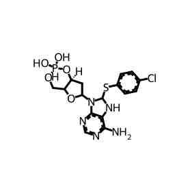 Nc1ncnc2c1NC(Sc1ccc(Cl)cc1)N2C1C[C@@H]2O[PH](O)(O)OCC2O1